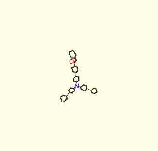 c1ccc(-c2ccc(N(c3ccc(-c4ccccc4)cc3)c3ccc(-c4ccc(-c5cc6ccccc6o5)cc4)cc3)cc2)cc1